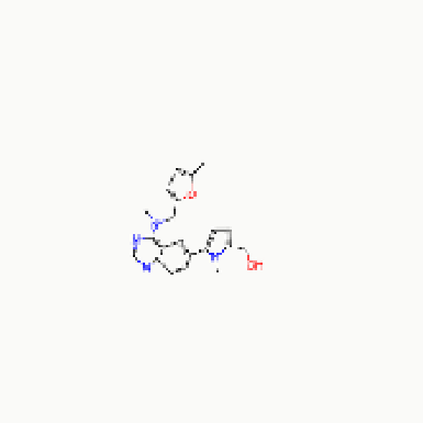 Cc1ccc(CN(C)c2ncnc3ccc(-c4ccc(CO)n4C)cc23)o1